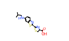 CC(C)CNc1ccc2nc(C3=NC(C(=O)O)CS3)sc2c1